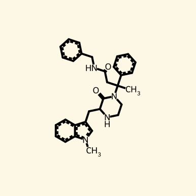 Cn1cc(CC2NCCN(C(C)(CC(=O)NCc3ccccc3)c3ccccc3)C2=O)c2ccccc21